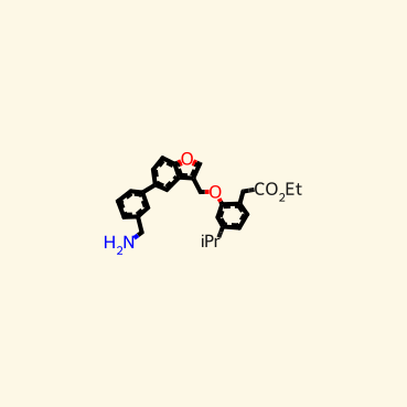 CCOC(=O)Cc1ccc(C(C)C)cc1OCc1coc2ccc(-c3cccc(CN)c3)cc12